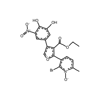 CCOC(=O)c1c(-c2cc(O)c(O)c([N+](=O)[O-])c2)coc1-c1ccc(C)[n+]([O-])c1Br